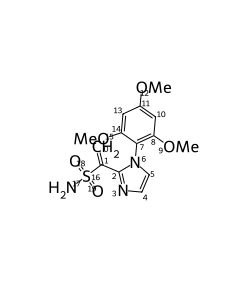 C=C(c1nccn1-c1c(OC)cc(OC)cc1OC)S(N)(=O)=O